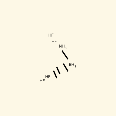 B.CC.CC.CC.CC.F.F.F.F.N